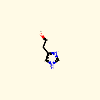 O=[C][CH]c1c[nH]cn1